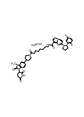 Cn1c(=O)n(C2CCC(=O)NC2=O)c2ccc(C3CCN(C(=O)CCCCCCCNC(=O)c4cnn5ccc(N6CCC[C@@H]6c6cc(F)ccc6F)nc45)CC3)cc21.O=CO